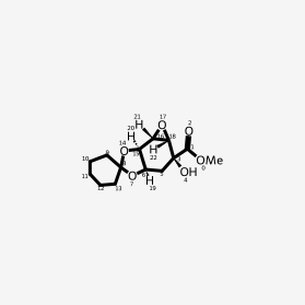 COC(=O)[C@]1(O)C[C@H]2OC3(CCCCC3)O[C@H]2[C@@H]2O[C@@H]21